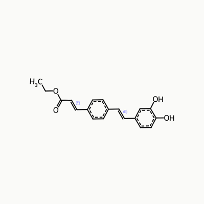 CCOC(=O)/C=C/c1ccc(/C=C/c2ccc(O)c(O)c2)cc1